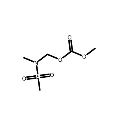 COC(=O)OCN(C)S(C)(=O)=O